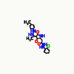 CC(NNc1ccc(C)cc1)=C1C(=O)NC(CC(=O)NNc2ccccc2Cl)C1=O